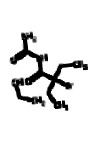 CCC(Br)(CC)C(=O)NC(N)=O.CCO